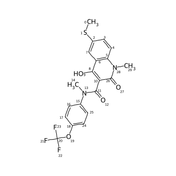 CSc1ccc2c(c1)c(O)c(C(=O)N(C)c1ccc(OC(F)(F)F)cc1)c(=O)n2C